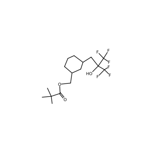 CC(C)(C)C(=O)OCC1CCCC(CC(O)(C(F)(F)F)C(F)(F)F)C1